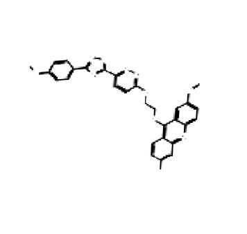 COc1ccc(-c2noc(-c3ccc(NCCNc4c5ccc(Cl)cc5nc5ccc(OC)cc45)nn3)n2)cc1